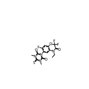 CCN1C(=O)C(F)(F)Oc2cc(F)c(-n3c(=O)n(C)c(=S)n(C)c3=O)cc21